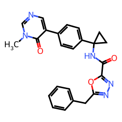 Cn1cncc(-c2ccc(C3(NC(=O)c4nnc(Cc5ccccc5)o4)CC3)cc2)c1=O